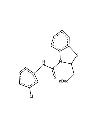 CCCCCCCCCCCC1Sc2ccccc2N1C(=S)Nc1cccc(Cl)c1